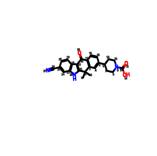 CC1(C)c2cc(C3CCN(C(=O)O)CC3)ccc2C(=O)c2c1[nH]c1cc(C#N)ccc21